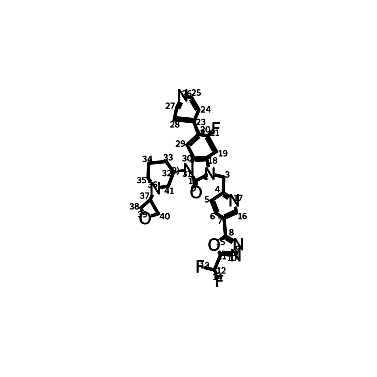 O=c1n(Cc2ccc(-c3nnc(C(F)F)o3)cn2)c2cc(F)c(-c3ccncc3)cc2n1[C@@H]1CCCN(C2COC2)C1